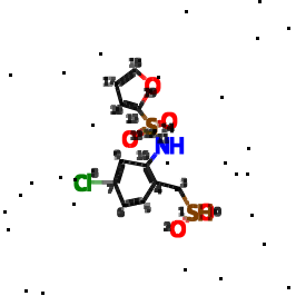 O=[SH](=O)Cc1ccc(Cl)cc1NS(=O)(=O)c1ccco1